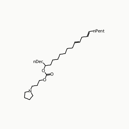 CCCCCC=CCC=CCCCCCCCC(CCCCCCCCCC)OC(=O)OCCCN1CCCC1